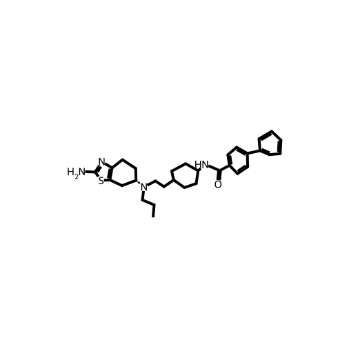 CCCN(CCC1CCC(NC(=O)c2ccc(-c3ccccc3)cc2)CC1)[C@H]1CCc2nc(N)sc2C1